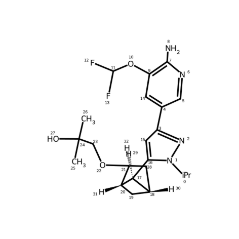 CC(C)n1nc(-c2cnc(N)c(OC(F)F)c2)cc1[C@H]1[C@H]2C[C@@H]1[C@@H](OCC(C)(C)O)C2